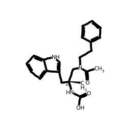 CC(=O)N(CCc1ccccc1)C[C@@](C)(Cc1c[nH]c2ccccc12)NC(=O)O